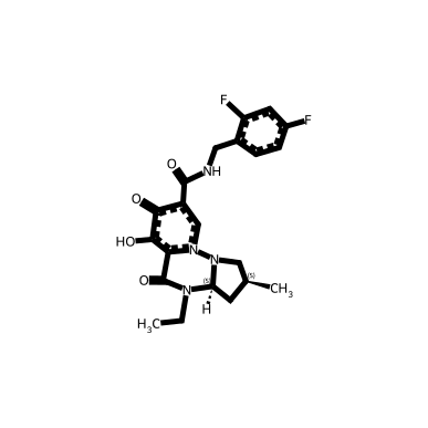 CCN1C(=O)c2c(O)c(=O)c(C(=O)NCc3ccc(F)cc3F)cn2N2C[C@@H](C)C[C@@H]12